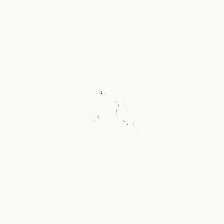 CCCC(N)N.Cl.Cl.Cl.Cl